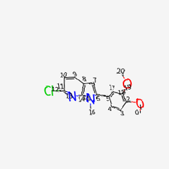 COc1ccc(-c2cc3ccc(Cl)nc3n2C)cc1OC